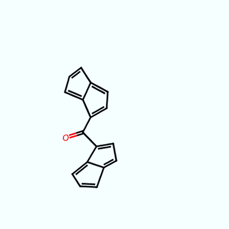 O=C(C1=CC=C2C=CC=C21)C1=CC=C2C=CC=C21